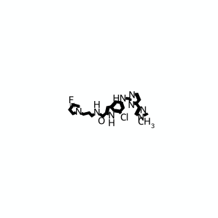 Cn1cnc(-c2ccnc(Nc3cc(Cl)c4[nH]c(C(=O)NCCCN5CC[C@@H](F)C5)cc4c3)n2)c1